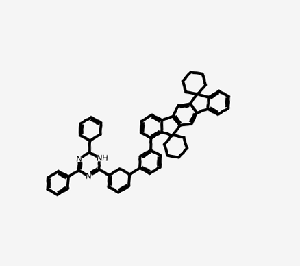 C1=CCC(C2N=C(c3ccccc3)N=C(C3=CC=CC(c4cccc(-c5cccc6c5C5(CCCCC5)c5cc7c(cc5-6)C5(CCCCC5)c5ccccc5-7)c4)C3)N2)C=C1